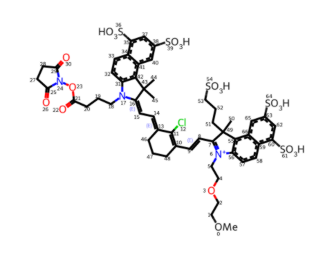 COCCOCC[N+]1=C(/C=C/C2=C(Cl)C(=C/C=C3/N(CCCC(=O)ON4C(=O)CCC4=O)c4ccc5c(S(=O)(=O)O)cc(S(=O)(=O)O)cc5c4C3(C)C)/CCC2)C(C)(CCCS(=O)(=O)O)c2c1ccc1c(S(=O)(=O)O)cc(S(=O)(=O)O)cc21